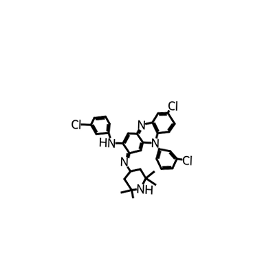 CC1(C)CC(N=c2cc3n(-c4cccc(Cl)c4)c4ccc(Cl)cc4nc-3cc2Nc2cccc(Cl)c2)CC(C)(C)N1